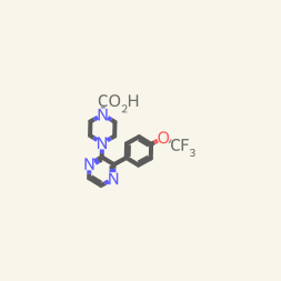 O=C(O)N1CCN(c2nccnc2-c2ccc(OC(F)(F)F)cc2)CC1